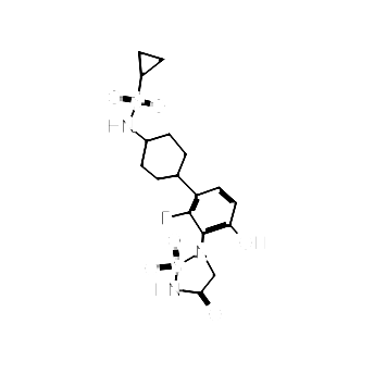 O=C1CN(c2c(O)ccc(C3CCC(NS(=O)(=O)C4CC4)CC3)c2F)S(=O)(=O)N1